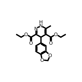 CCOC(=O)C1=NNC(C)=C(C(=O)OCC)C1c1ccc2c(c1)OCO2